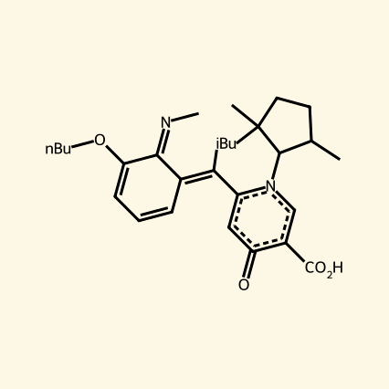 CCCCOC1=CC=CC(=C(\c2cc(=O)c(C(=O)O)cn2C2C(C)CCC2(C)C)C(C)CC)/C1=N\C